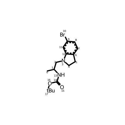 CC(CN1CCc2ccc(Br)cc21)NC(=O)OC(C)(C)C